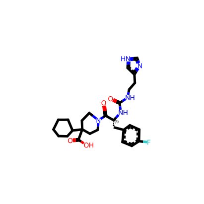 O=C(NCCc1c[nH]cn1)N[C@H](Cc1ccc(F)cc1)C(=O)N1CCC(C(=O)O)(C2CCCCC2)CC1